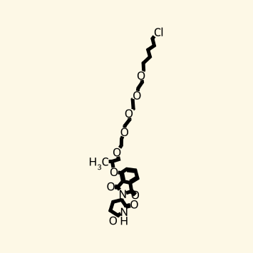 CC(COCCOCCOCCOCCOCCCCCCCl)Oc1cccc2c1C(=O)N(C1CCC(=O)NC1=O)C2=O